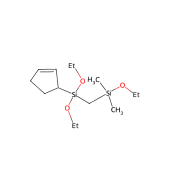 CCO[Si](C)(C)C[Si](OCC)(OCC)C1C=CCC1